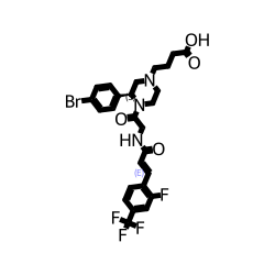 O=C(O)CCCN1CCN(C(=O)CNC(=O)/C=C/c2ccc(C(F)(F)F)cc2F)[C@@H](c2ccc(Br)cc2)C1